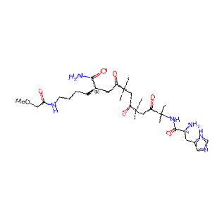 COCC(=O)NCCCC[C@H](CC(=O)C(C)(C)CC(=O)C(C)(C)CC(=O)C(C)(C)NC(=O)[C@@H](N)Cc1cnc[nH]1)C(N)=O